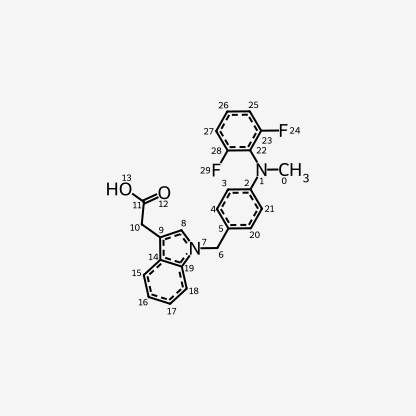 CN(c1ccc(Cn2cc(CC(=O)O)c3ccccc32)cc1)c1c(F)cccc1F